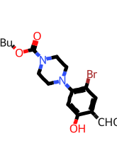 CC(C)(C)OC(=O)N1CCN(c2cc(O)c(C=O)cc2Br)CC1